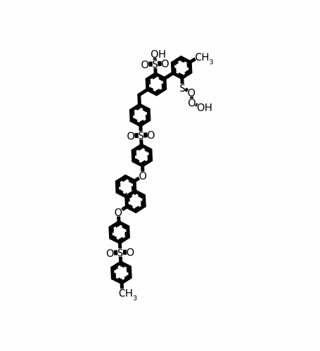 Cc1ccc(S(=O)(=O)c2ccc(Oc3cccc4c(Oc5ccc(S(=O)(=O)c6ccc(Cc7ccc(-c8ccc(C)cc8SOOO)c(S(=O)(=O)O)c7)cc6)cc5)cccc34)cc2)cc1